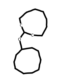 C1CCCCC(OC2CCCCCCCCC2)CCCC1